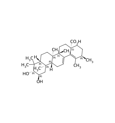 CC1=C2C3=CC[C@@H]4[C@@]5(C)C[C@@H](O)[C@H](O)C(C)(C)[C@@H]5CC[C@@]4(C)[C@]3(C)CC[C@@]2(C(=O)O)CC[C@H]1C